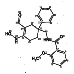 COc1ccccc1C(=O)NCC1(c2ccccc2)CCC(NO)=C(C=O)C1